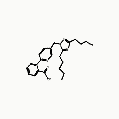 CCCCCc1nc(CCCC)nn1Cc1ccc(-c2ccccc2C(=O)O)nc1